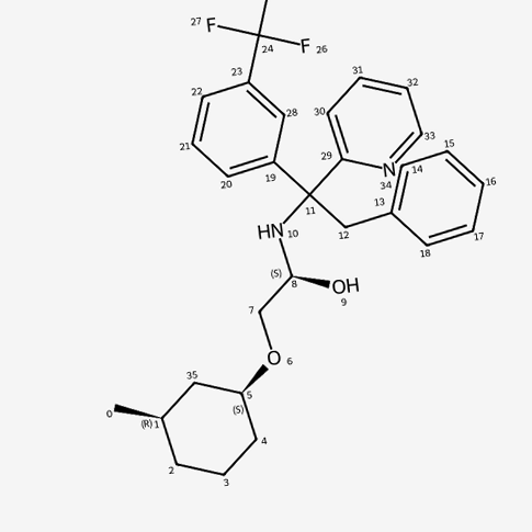 C[C@@H]1CCC[C@H](OC[C@H](O)NC(Cc2ccccc2)(c2cccc(C(C)(F)F)c2)c2ccccn2)C1